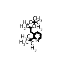 C=C(Cc1cccnc1C(C)(C)C)OC(C)(C)C